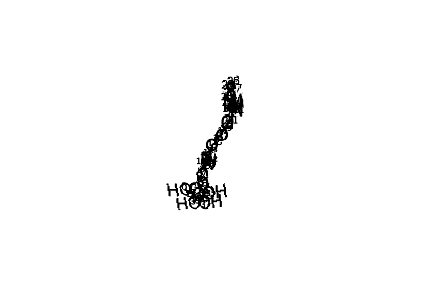 OCC1OC(OCOCc2cn(CCOCCOCCOCc3cn(CC4CCC4)nn3)nn2)C(O)C(O)C1O